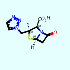 C[C@@]1(Cn2ccnn2)S[C@@H]2CC(=O)N2[C@@H]1C(=O)O